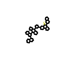 c1cc(-c2ccc3c4ccccc4c4c5ccc6ccccc6c5sc4c3c2)cc(-c2c3ccccc3c(-c3cc(-c4cccc5ccccc45)cc4ccccc34)c3ccccc23)c1